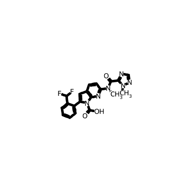 CN(C(=O)c1ncnn1C)c1ccc2cc(-c3ccccc3C(F)F)n(C(=O)O)c2n1